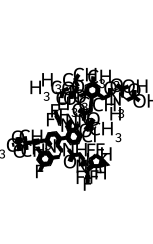 Cc1cc(CC(=O)N[C@H](CC(=O)O)C(=O)O)c(C(C)(C)CC(=O)N(c2nn(CC(F)(F)F)c3c(-c4ccc(C#CC(C)(C)S(C)(=O)=O)nc4[C@H](Cc4cc(F)cc(F)c4)NC(=O)Cn4nc(C(F)(F)F)c5c4C(F)(F)[C@@H]4C[C@H]54)ccc(Cl)c23)S(C)(=O)=O)c(OP(=O)(OC(C)C)OC(C)C)c1